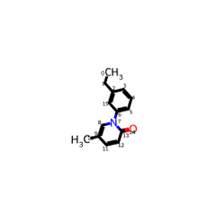 CCc1cccc(-n2cc(C)ccc2=O)c1